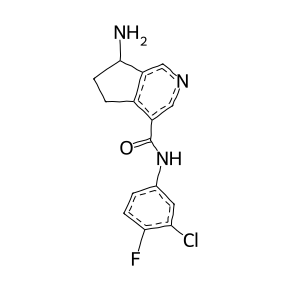 NC1CCc2c(C(=O)Nc3ccc(F)c(Cl)c3)cncc21